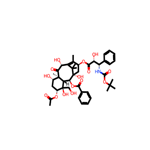 CC(=O)O[C@@H]1C[C@H](O)[C@@]2(C)C(=O)[C@H](O)C3=C(C)[C@@H](OC(=O)[C@H](O)[C@@H](NC(=O)OC(C)(C)C)c4ccccc4)C[C@@](O)([C@@H](OC(=O)c4ccccc4)[C@@H]2[C@]1(O)CO)C3(C)C